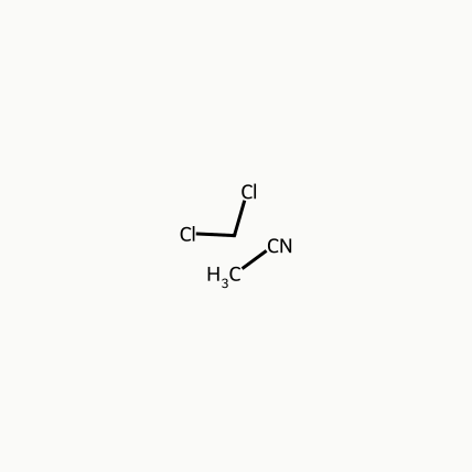 CC#N.ClCCl